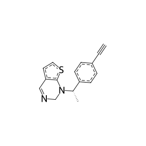 C#Cc1ccc([C@H](C)N2CN=Cc3ccsc32)cc1